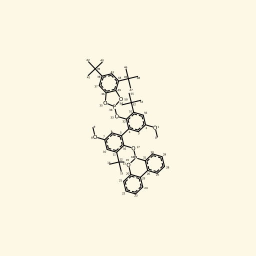 COc1cc(-c2cc(OC)cc(C(C)(C)C)c2OP2Oc3ccccc3-c3ccccc32)c(OP2Oc3cc(C(C)(C)C)cc(C(C)(C)C)c3O2)c(C(C)(C)C)c1